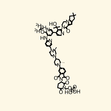 [2H]C([2H])([2H])Oc1ncc(-c2ccnc(N3CCn4c(cc5c4CC(C)(C)C5)C3=O)c2C(C)(C)O)cc1Nc1ccc(N2CCN(C3CCN(c4ccc5c(c4)C(=O)N([C@H]4CCC(=O)N(COP(=O)(O)O)C4=O)C5=O)[C@@H](C)C3)C[C@@H]2C)cn1